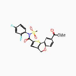 COC(=O)c1ccc2c(c1)-c1sc(C(=O)N(c3ccc(F)cc3F)S(C)(=O)=O)cc1CO2